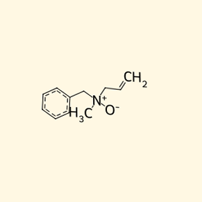 C=CC[N+](C)([O-])Cc1ccccc1